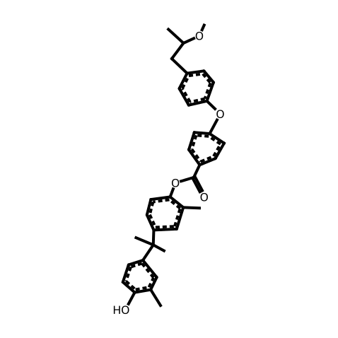 COC(C)Cc1ccc(Oc2ccc(C(=O)Oc3ccc(C(C)(C)c4ccc(O)c(C)c4)cc3C)cc2)cc1